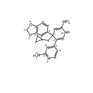 NC1=NC(CC2CC2)(c2ccc3c(c2)OCO3)C(c2ccnc(N)n2)=CN1